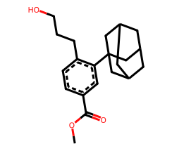 COC(=O)c1ccc(CCCO)c(C23CC4CC(CC(C4)C2)C3)c1